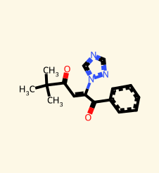 CC(C)(C)C(=O)C=C(C(=O)c1ccccc1)n1cncn1